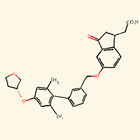 Cc1cc(O[C@@H]2CCOC2)cc(C)c1-c1cccc(COc2ccc3c(c2)C(=O)CC3CC(=O)O)c1